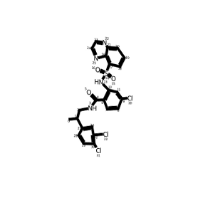 CC(CNC(=O)c1ccc(Cl)cc1NS(=O)(=O)c1cccc2nccnc12)c1ccc(Cl)c(Cl)c1